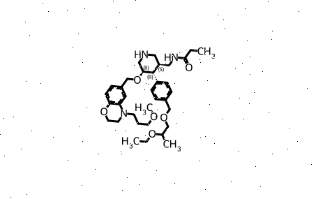 CCOC(C)COCc1ccc([C@H]2[C@H](CNC(=O)CC)CNC[C@@H]2OCc2ccc3c(c2)N(CCCOC)CCO3)cc1